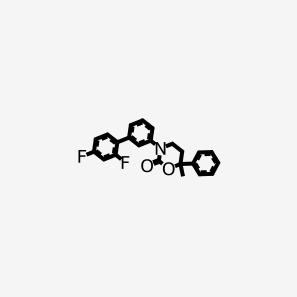 CC1(c2ccccc2)CCN(c2cccc(-c3ccc(F)cc3F)c2)C(=O)O1